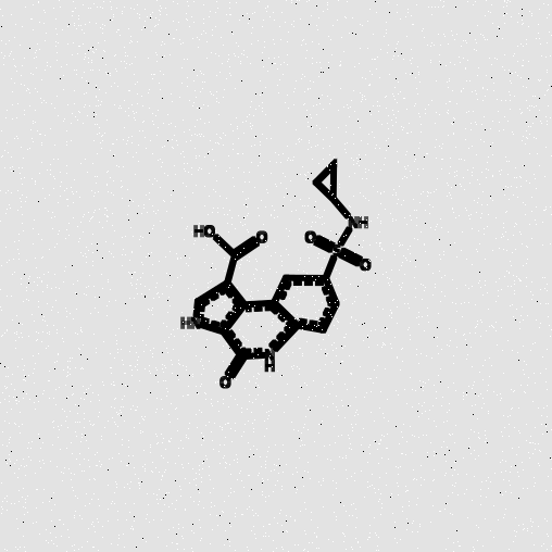 O=C(O)c1c[nH]c2c(=O)[nH]c3ccc(S(=O)(=O)NC4CC4)cc3c12